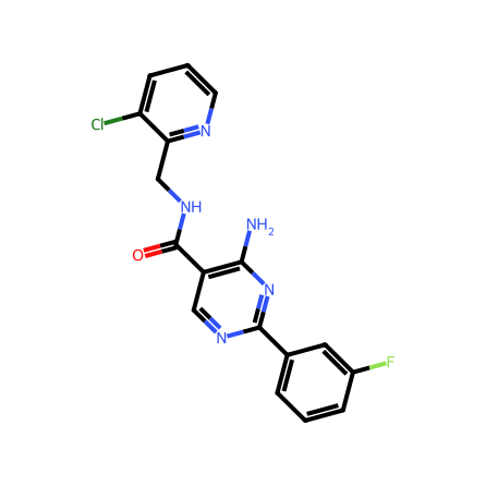 Nc1nc(-c2cccc(F)c2)ncc1C(=O)NCc1ncccc1Cl